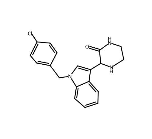 O=C1NCCNC1c1cn(Cc2ccc(Cl)cc2)c2ccccc12